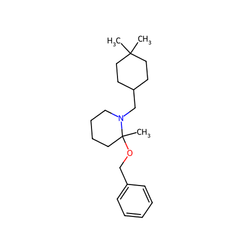 CC1(C)CCC(CN2CCCCC2(C)OCc2ccccc2)CC1